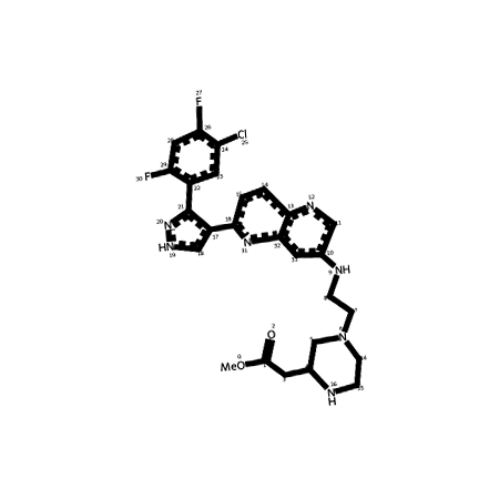 COC(=O)CC1CN(CCNc2cnc3ccc(-c4c[nH]nc4-c4cc(Cl)c(F)cc4F)nc3c2)CCN1